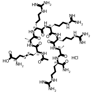 CC(=O)N[C@H](CSSC[C@H](N)C(=O)O)C(=O)N[C@H](C)C(=O)N[C@H](CCCNC(=N)N)C(=O)N[C@H](CCCNC(=N)N)C(=O)N[C@H](CCCNC(=N)N)C(=O)N[C@H](C)C(=O)N[C@H](CCCNC(=N)N)C(N)=O.Cl